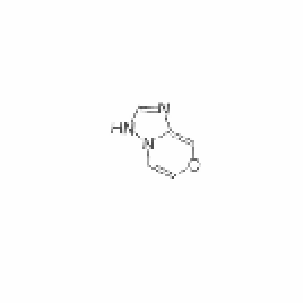 C1=CN2NC=NC2=CO1